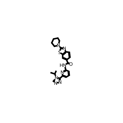 CC(C)n1cnnc1-c1cccc(NC(=O)c2ccc3nc(N4CCCCC4)sc3c2)n1